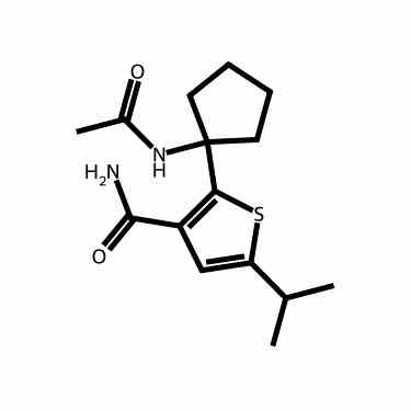 CC(=O)NC1(c2sc(C(C)C)cc2C(N)=O)CCCC1